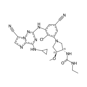 CCNC(=O)N[C@H]1CN(c2cc(C#N)cc(Nc3nc(NC4CC4)c4ncc(C#N)n4n3)c2Cl)C[C@@H]1OC